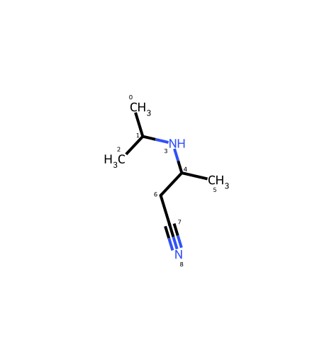 CC(C)NC(C)CC#N